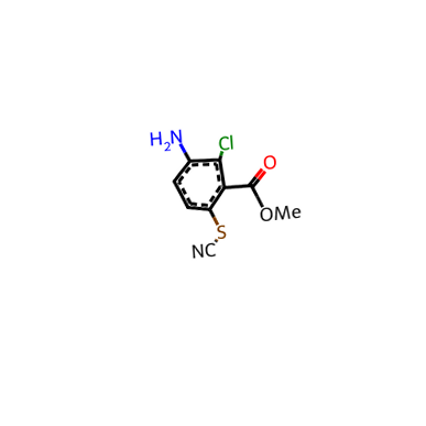 COC(=O)c1c(SC#N)ccc(N)c1Cl